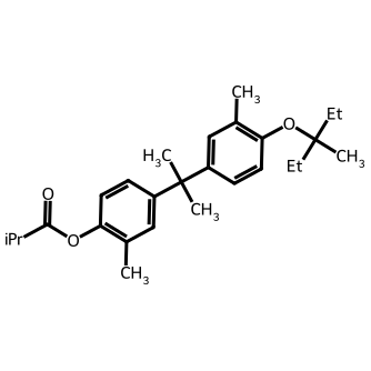 CCC(C)(CC)Oc1ccc(C(C)(C)c2ccc(OC(=O)C(C)C)c(C)c2)cc1C